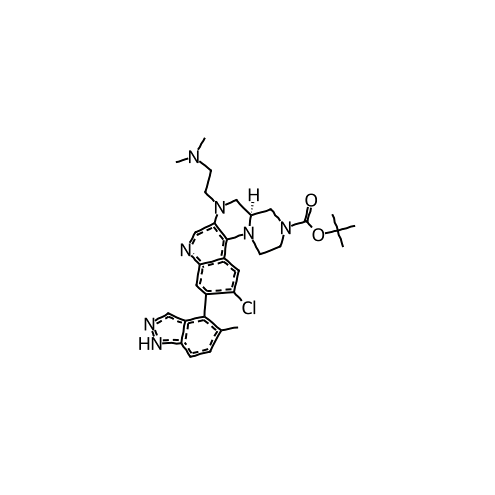 Cc1ccc2[nH]ncc2c1-c1cc2ncc3c(c2cc1Cl)N1CCN(C(=O)OC(C)(C)C)C[C@@H]1CN3CCN(C)C